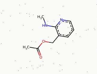 CNc1ncccc1COC(C)=O